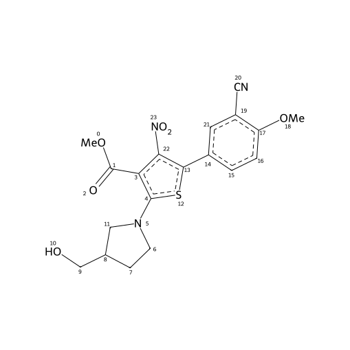 COC(=O)c1c(N2CCC(CO)C2)sc(-c2ccc(OC)c(C#N)c2)c1[N+](=O)[O-]